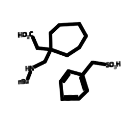 CCCCNCC1(CC(=O)O)CCCCCC1.O=S(=O)(O)Cc1ccccc1